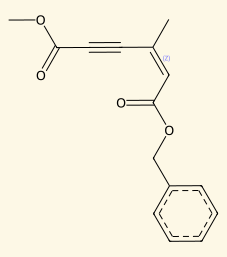 COC(=O)C#C/C(C)=C\C(=O)OCc1ccccc1